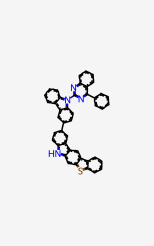 c1ccc(-c2nc(-n3c4ccccc4c4cc(-c5ccc6[nH]c7cc8sc9ccccc9c8cc7c6c5)ccc43)nc3ccccc23)cc1